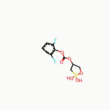 O=C(Oc1c(F)cccc1F)OC1COS(O)(O)C1